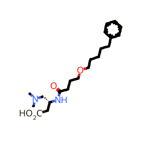 CN(C)C[C@@H](CC(=O)O)NC(=O)CCCOCCCCCc1ccccc1